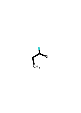 CCC(F)[Si]